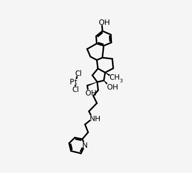 C[C@]12CCC3c4ccc(O)cc4CCC3C1C[C@@](CO)(CCCCNCCc1ccccn1)[C@@H]2O.[Cl][Pt][Cl]